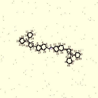 C(=C\c1ccc2cc(-c3ccc(N(c4ccccc4)c4ccccc4)s3)ccc2c1)/c1ccc2cc(-c3ccc(N(c4ccccc4)c4ccccc4)s3)ccc2c1